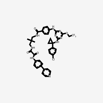 CC(C)(CNC(=O)C(=O)Nc1ccc(-c2ccncc2)cc1)CNC(=O)c1ccc(Nc2nc(NC3(c4ccc(Cl)cc4)CC3)nc(OCC(F)(F)F)n2)cc1